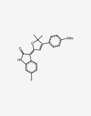 CSc1ccc(C2=CC(=C3C(=O)Nc4cc(F)ccc43)OC2(C)C)cc1